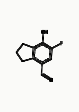 O=Cc1cc(F)c(O)c2c1CCC2